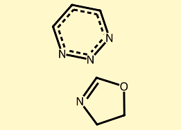 C1=NCCO1.c1cnnnc1